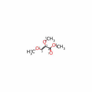 COC=C(OC)C(=O)OC